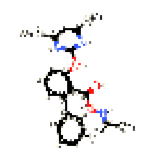 COc1cc(OC)nc(Oc2cccc(-c3ccccc3)c2C(=O)ON=C(C)C)n1